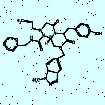 C=CCN1CC(=O)N2C(Cc3ccc(O)cc3)C(=O)N(CC3=CC4N=NN(C)C4C=C3)C[C@@H]2N1C(=O)NCc1ccccc1